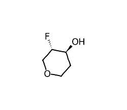 O[C@H]1CCOC[C@@H]1F